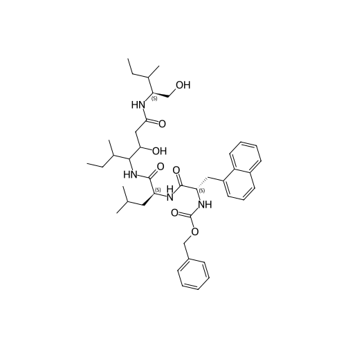 CCC(C)C(NC(=O)[C@H](CC(C)C)NC(=O)[C@H](Cc1cccc2ccccc12)NC(=O)OCc1ccccc1)C(O)CC(=O)N[C@H](CO)C(C)CC